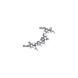 CNC(=O)O[C@@H](C/C=C\NC(=O)[C@@H](NC(=O)\C=C/C=C\C(C)=C\[C@H](C)[C@@H]1CC=C(OC)C(=O)O1)C(C)C)C/C=C(\C)Cl